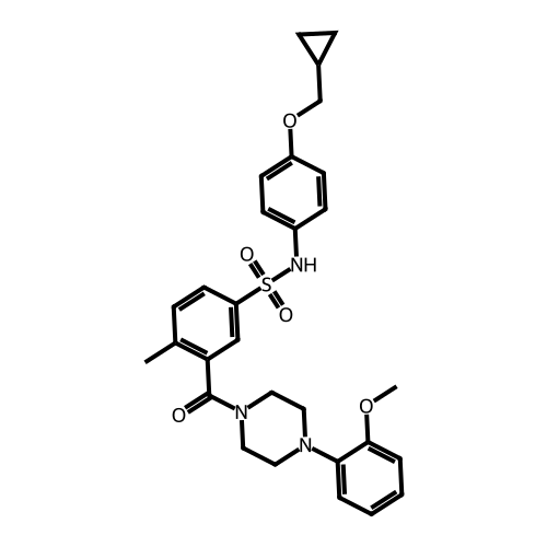 COc1ccccc1N1CCN(C(=O)c2cc(S(=O)(=O)Nc3ccc(OCC4CC4)cc3)ccc2C)CC1